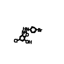 Oc1cc(Cl)cc2nc(Nc3ccc(Br)cc3)oc12